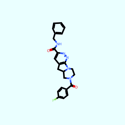 O=C(NCc1ccccc1)c1cc2c(nn1)N1CCN(C(=O)c3ccc(F)cc3)CC1C2